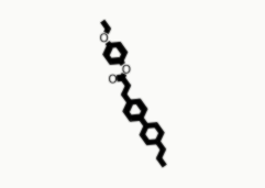 CCCC1CCC(c2ccc(CCC(=O)Oc3ccc(OCC)cc3)cc2)CC1